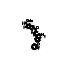 CSNc1cc2cc(C(=O)C(C)/C=N\N(CN)c3ccc(OC4=C(F)CC=CC=C4)cc3C)[nH]c2cc1F